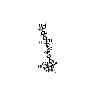 CC(C)(C1CCN(C(=O)COC(=O)N2CCC(c3ccc(-c4c(-c5nn(C(C)(C)C)c6ncnc(N)c56)noc4C4CC4)nn3)CC2)CC1)N1CCN(c2c(F)cc(NC3CCC(=O)NC3=O)cc2F)CC1